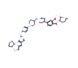 CN(C)C(=O)c1cc2cnc(Nc3ccc(N4CCC(CN5CC6CCC5CN6c5cc6c(cc5F)C(=O)N(C5CCC(=O)NC5=O)C6=O)CC4)cn3)nc2n1C1CCCC1